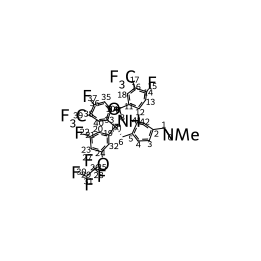 CNCc1ccc(C[C@](NC(=O)c2ccc(F)c(C(F)(F)F)c2)(c2cc(F)cc(OC(F)(F)C(F)F)c2)c2ccc(F)c(C(F)(F)F)c2)cc1